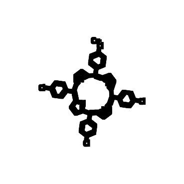 Clc1ccc(-c2c3nc(c(-c4ccc(Cl)cc4)c4ccc([nH]4)c(-c4ccc(Cl)cc4)c4nc(c(-c5ccc(Cl)cc5)c5ccc2[nH]5)C=C4)C=C3)cc1.[Cu]